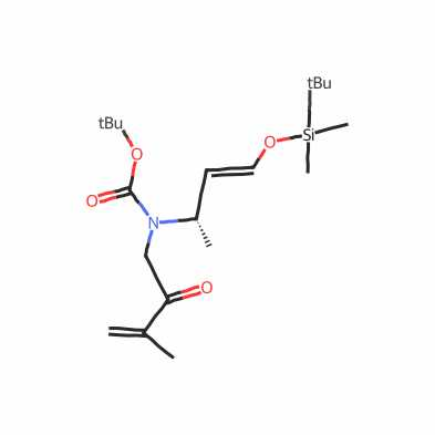 C=C(C)C(=O)CN(C(=O)OC(C)(C)C)[C@@H](C)C=CO[Si](C)(C)C(C)(C)C